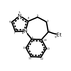 CCC1CCc2nccn2-c2ccccc21